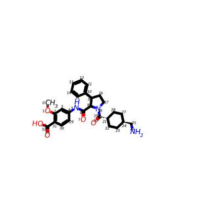 COc1cc(NC(=O)C2C(c3ccccc3)CCN2C(=O)[C@H]2CC[C@H](CN)CC2)ccc1C(=O)O